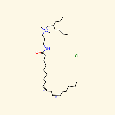 CCCCC/C=C\C/C=C\CCCCCCCC(=O)NCCC[N+](C)(C)CC(CCC)CCCC.[Cl-]